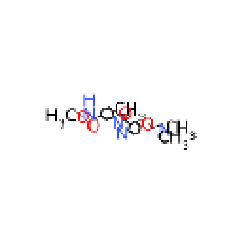 CCONC(=O)c1ccc(C)c(-n2cnc3ccc(OCCN(C)C)cc3c2=O)c1